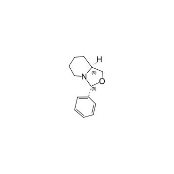 c1ccc([C@H]2OC[C@@H]3CCCCN32)cc1